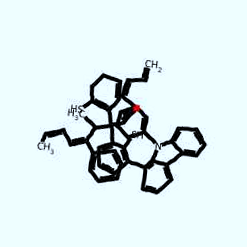 C=C/C=C\C=C/C(C1=C(S)CCC=C1)(c1cccc(-c2cccc3c4ccccc4n(C4=CC=CCC4)c23)c1S)C(C)/C(=C\C=C/C)c1ccccc1